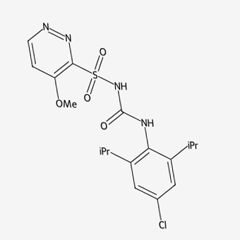 COc1ccnnc1S(=O)(=O)NC(=O)Nc1c(C(C)C)cc(Cl)cc1C(C)C